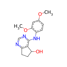 COc1ccc(Nc2ncnc3c2C(O)CC3)c(OC)c1